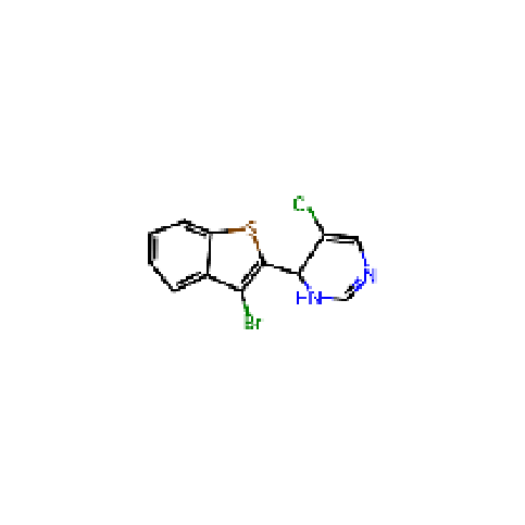 ClC1=CN=CNC1c1sc2ccccc2c1Br